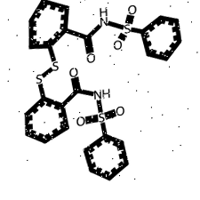 O=C(NS(=O)(=O)c1ccccc1)c1ccccc1SSc1ccccc1C(=O)NS(=O)(=O)c1ccccc1